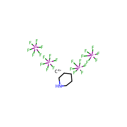 C1CCNCC1.F[P-](F)(F)(F)(F)F.F[P-](F)(F)(F)(F)F.F[P-](F)(F)(F)(F)F.F[P-](F)(F)(F)(F)F.[C+4]